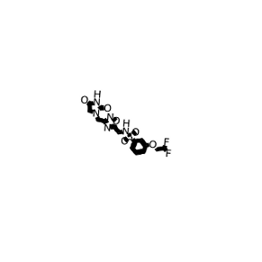 O=C1CN(Cc2noc(CNS(=O)(=O)c3cccc(OCC(F)F)c3)n2)C(=O)N1